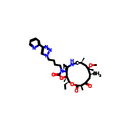 B[C@@H]1CC(=O)[C@@H](C)C(=O)O[C@H](CC)[C@@]2(C)OC(=O)N(CCCCn3cc(-c4ccccn4)nn3)[C@@H]2[C@@H](C)NC[C@H](C)C[C@]1(C)OC